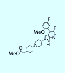 COC(=O)CC1CCC(N2CC=C(c3cc4c(-c5cc(F)ccc5OC)c(F)cnc4[nH]3)CC2)CC1